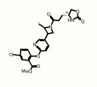 COC(=O)c1cc(Cl)ccc1Oc1ccc(C2CN(C(=O)CC[C@@H]3COC(=O)N3)C2I)cn1